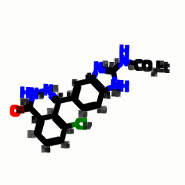 CCOC(=O)Nc1nc2cc(-c3n[nH]c(=O)c4cccc(Cl)c34)ccc2[nH]1